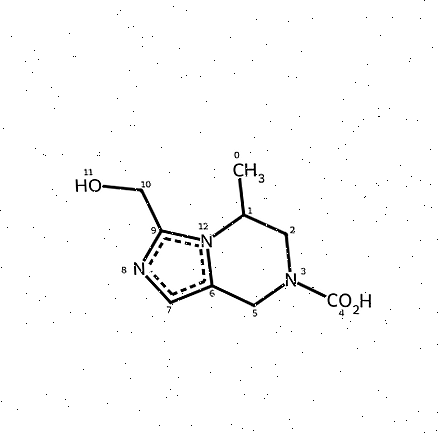 CC1CN(C(=O)O)Cc2cnc(CO)n21